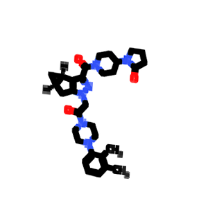 Cc1cccc(N2CCN(C(=O)Cn3nc(C(=O)N4CCC(N5CCCC5=O)CC4)c4c3C[C@H]3C[C@@H]43)CC2)c1C